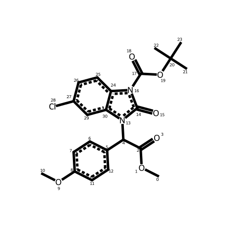 COC(=O)C(c1ccc(OC)cc1)n1c(=O)n(C(=O)OC(C)(C)C)c2ccc(Cl)cc21